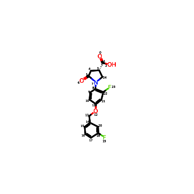 O=C(O)[C@H]1CC(=O)N(c2ccc(OCc3cccc(F)c3)cc2F)C1